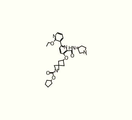 CCOc1ncccc1-c1ccc(OC2CC3(C2)CN(C(=O)OC2CCCC2)C3)c(C(=O)N[C@@H]2CCN(C)C2)n1